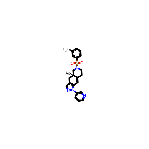 CC(=O)[C@]12Cc3cnn(-c4cccnc4)c3C=C1CCN(S(=O)(=O)c1cccc(C(F)(F)F)c1)C2